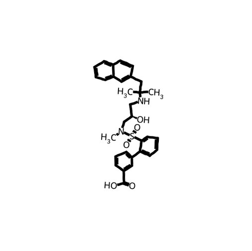 CN(C[C@H](O)CNC(C)(C)Cc1ccc2ccccc2c1)S(=O)(=O)c1ccccc1-c1cccc(C(=O)O)c1